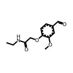 CCNC(=O)COc1ccc(C=O)cc1OC